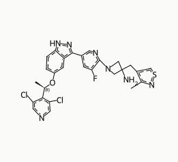 Cc1nscc1CC1(N)CN(c2ncc(-c3n[nH]c4ccc(O[C@H](C)c5c(Cl)cncc5Cl)cc34)cc2F)C1